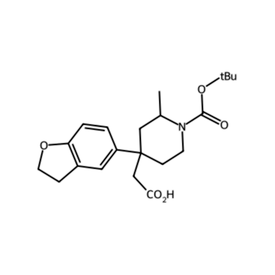 CC1CC(CC(=O)O)(c2ccc3c(c2)CCO3)CCN1C(=O)OC(C)(C)C